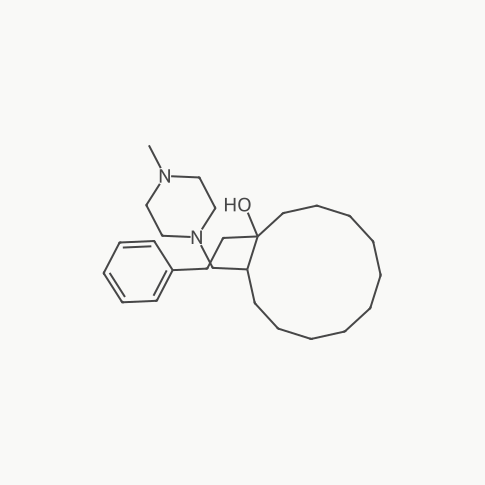 CN1CCN(CC2CCCCCCCCCCC2(O)CCc2ccccc2)CC1